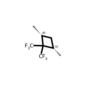 C[C@@H]1C[C@H](C)C1(C(F)(F)F)C(F)(F)F